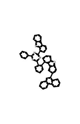 c1ccc(-c2nc(-c3ccccc3-c3cccc4oc5ccc(-c6cc7ccccc7c7ccccc67)cc5c34)nc(-c3cccc4c3sc3ccccc34)n2)cc1